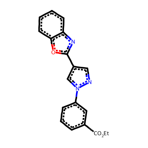 CCOC(=O)c1cccc(-n2cc(-c3nc4ccccc4o3)cn2)c1